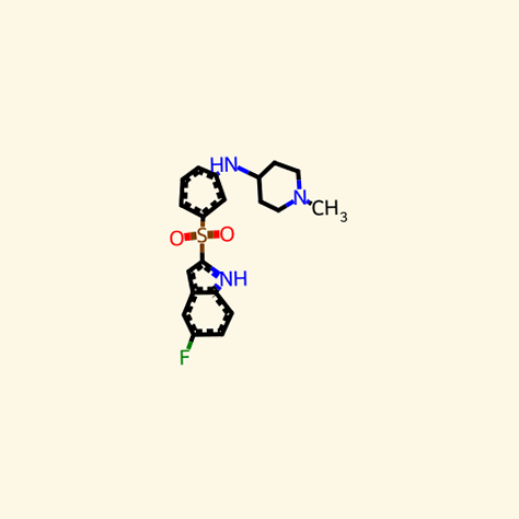 CN1CCC(Nc2cccc(S(=O)(=O)c3cc4cc(F)ccc4[nH]3)c2)CC1